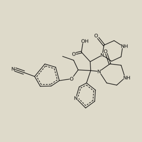 CCC(Oc1ccc(C#N)cc1)C(c1cccnc1)(C(C(=O)O)N1CCNCC1=O)N1CCNCC1=O